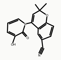 CC1(C)C=C(n2cccc(O)c2=O)c2cc(C#N)ccc2O1